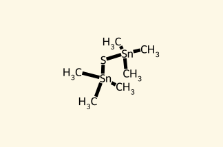 [CH3][Sn]([CH3])([CH3])[S][Sn]([CH3])([CH3])[CH3]